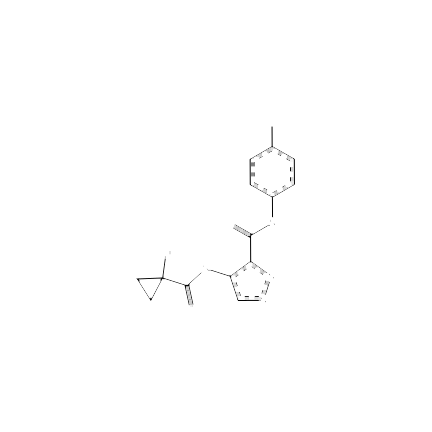 O=C(Nc1ccc(F)cc1)c1n[nH]cc1NC(=O)C1(O)CC1